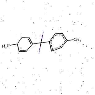 Cc1ccc(C(I)(I)C2=CCC(C)C=C2)cc1